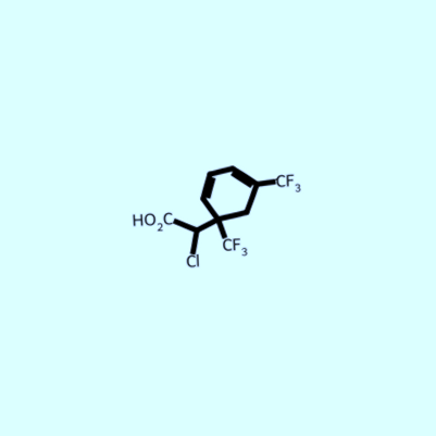 O=C(O)C(Cl)C1(C(F)(F)F)C=CC=C(C(F)(F)F)C1